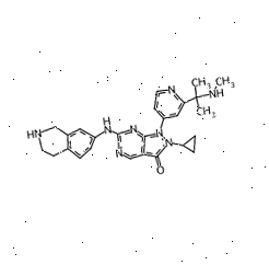 CNC(C)(C)c1cc(-n2c3nc(Nc4ccc5c(c4)CNCC5)ncc3c(=O)n2C2CC2)ccn1